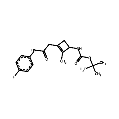 CC1=C(CC(=O)Nc2ccc(F)cc2)CC1NC(=O)OC(C)(C)C